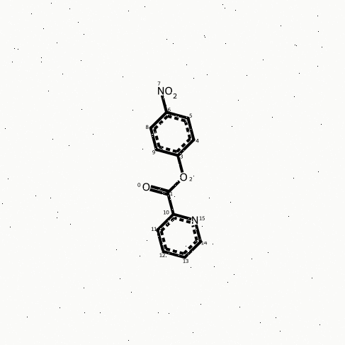 O=C(Oc1ccc([N+](=O)[O-])cc1)c1ccccn1